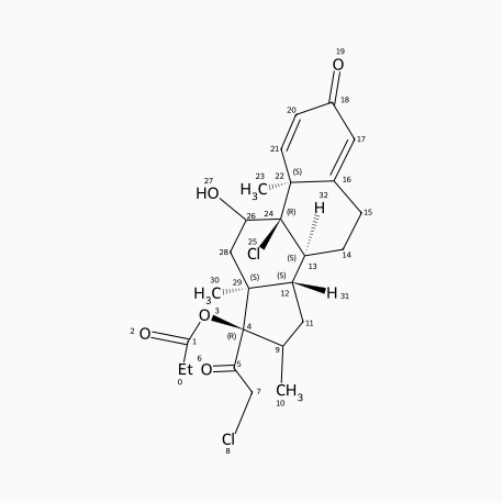 CCC(=O)O[C@]1(C(=O)CCl)C(C)C[C@H]2[C@@H]3CCC4=CC(=O)C=C[C@]4(C)[C@@]3(Cl)C(O)C[C@@]21C